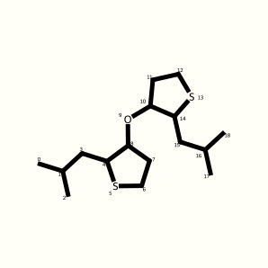 CC(C)CC1SCCC1OC1CCSC1CC(C)C